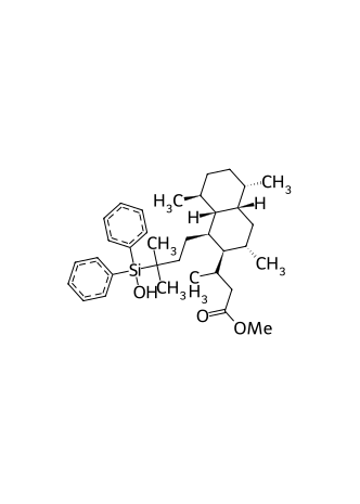 COC(=O)CC(C)[C@H]1[C@@H](CCC(C)(C)[Si](O)(c2ccccc2)c2ccccc2)[C@H]2[C@@H](C[C@@H]1C)[C@@H](C)CC[C@@H]2C